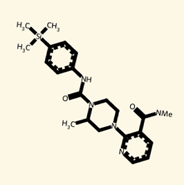 CNC(=O)c1cccnc1N1CCN(C(=O)Nc2ccc([Si](C)(C)C)cc2)C(C)C1